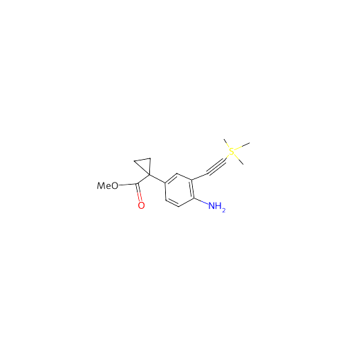 COC(=O)C1(c2ccc(N)c(C#CS(C)(C)C)c2)CC1